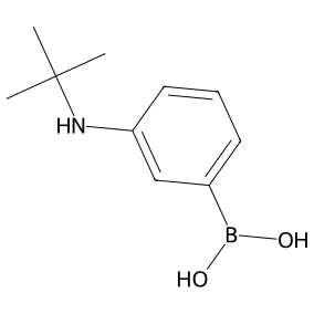 CC(C)(C)Nc1cccc(B(O)O)c1